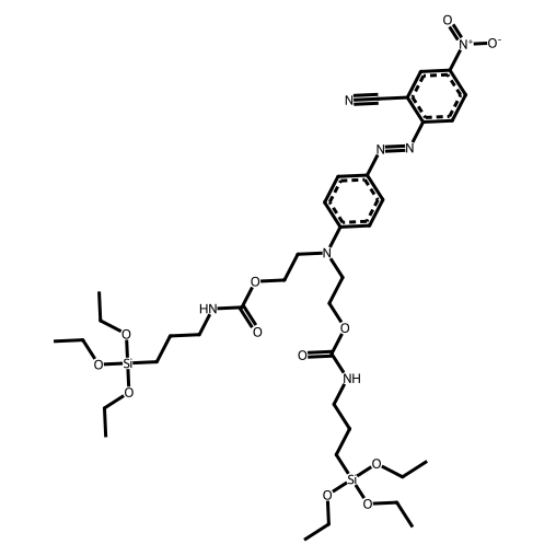 CCO[Si](CCCNC(=O)OCCN(CCOC(=O)NCCC[Si](OCC)(OCC)OCC)c1ccc(N=Nc2ccc([N+](=O)[O-])cc2C#N)cc1)(OCC)OCC